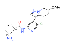 COC1CCc2c(-c3cc(NC(=O)[C@H]4CCC[C@@H](N)C4)ncc3Cl)cnn2C1